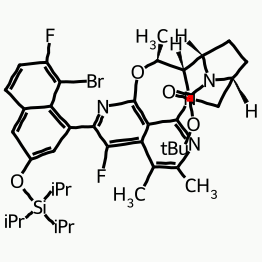 Cc1nc2c3c(nc(-c4cc(O[Si](C(C)C)(C(C)C)C(C)C)cc5ccc(F)c(Br)c45)c(F)c3c1C)O[C@@H](C)[C@@H]1[C@@H]3CC[C@H](CN21)N3C(=O)OC(C)(C)C